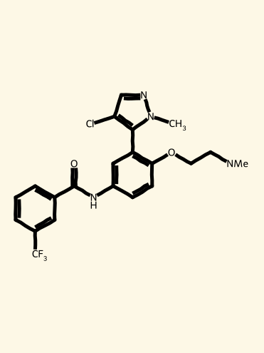 CNCCOc1ccc(NC(=O)c2cccc(C(F)(F)F)c2)cc1-c1c(Cl)cnn1C